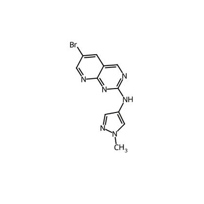 Cn1cc(Nc2ncc3cc(Br)cnc3n2)cn1